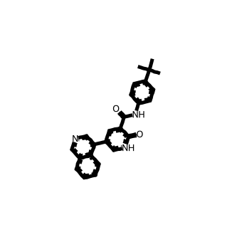 CC(C)(C)c1ccc(NC(=O)c2cc(-c3cncc4ccccc34)c[nH]c2=O)cc1